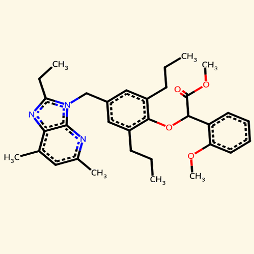 CCCc1cc(Cn2c(CC)nc3c(C)cc(C)nc32)cc(CCC)c1OC(C(=O)OC)c1ccccc1OC